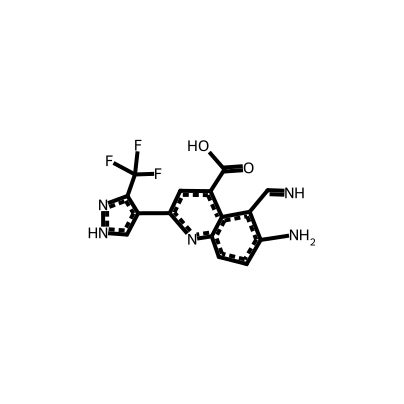 N=Cc1c(N)ccc2nc(-c3c[nH]nc3C(F)(F)F)cc(C(=O)O)c12